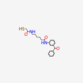 O=C(CS)NCCCCCC(=O)Nc1cccc(C(=O)c2ccccc2)c1